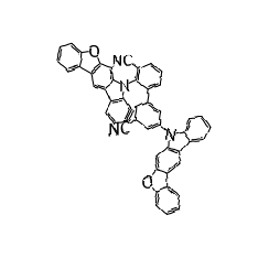 N#Cc1cccc(C2=CC(n3c4ccccc4c4cc5c(cc43)oc3ccccc35)=CC(C#N)C2)c1-n1c2c#cccc2c2cc3c(cc21)oc1ccccc13